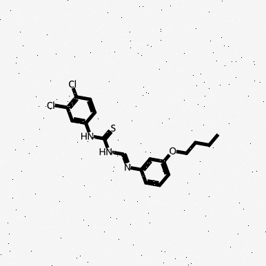 CCCCOc1cccc(N=CNC(=S)Nc2ccc(Cl)c(Cl)c2)c1